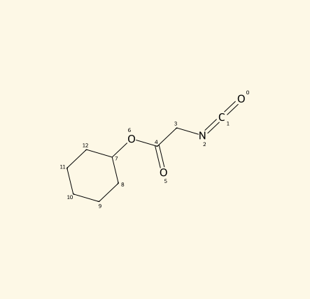 O=C=NCC(=O)OC1CCCCC1